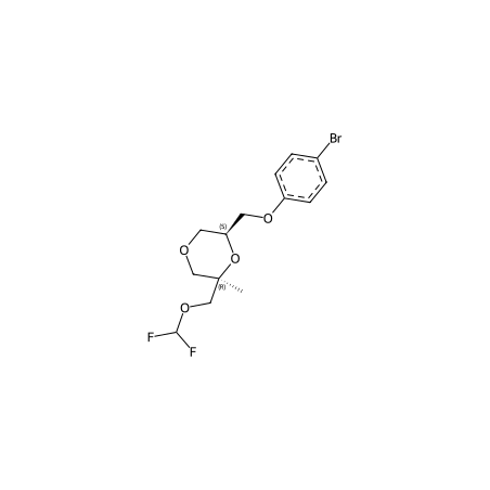 C[C@]1(COC(F)F)COC[C@@H](COc2ccc(Br)cc2)O1